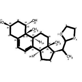 CC(C1OCCO1)[C@H]1CC[C@H]2C3=CC=C4C[C@@H](O)C[C@H](O)[C@]4(C)[C@H]3CC[C@]12C